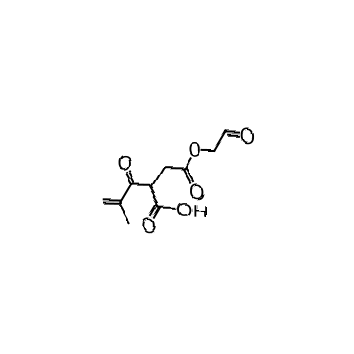 C=C(C)C(=O)C(CC(=O)OCC=O)C(=O)O